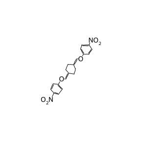 O=[N+]([O-])c1ccc(OC=C2CCC(=COc3ccc([N+](=O)[O-])cc3)CC2)cc1